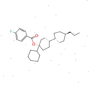 CCC[C@H]1CC[C@H]([C@H]2CC[C@](OC(=O)c3ccc(F)cc3)(C3CCCCC3)CC2)CC1